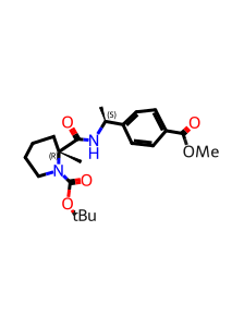 COC(=O)c1ccc([C@H](C)NC(=O)[C@@]2(C)CCCCN2C(=O)OC(C)(C)C)cc1